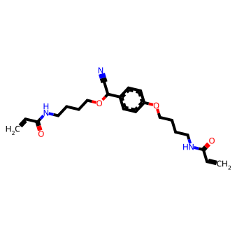 C=CC(=O)NCCCCOc1ccc(C(C#N)OCCCCNC(=O)C=C)cc1